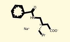 CC(C)C[C@H](CNC(=O)c1ccccc1)CC(=O)[O-].[Na+]